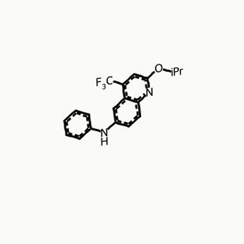 CC(C)Oc1cc(C(F)(F)F)c2cc(Nc3ccccc3)ccc2n1